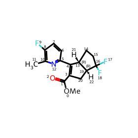 COC(=O)C1=C(c2ccc(F)c(C)n2)[C@@H]2CCC(F)(F)[C@@H]2C1